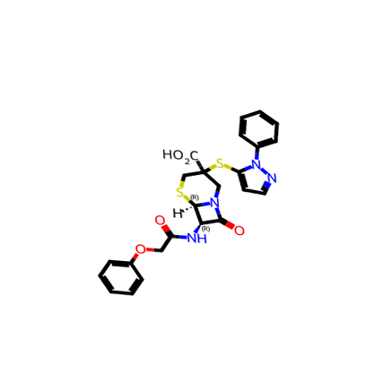 O=C(COc1ccccc1)N[C@@H]1C(=O)N2CC(Sc3ccnn3-c3ccccc3)(C(=O)O)CS[C@H]12